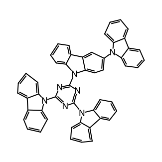 c1ccc2c(c1)c1ccccc1n2-c1ccc2c(c1)c1ccccc1n2-c1nc(-n2c3ccccc3c3ccccc32)nc(-n2c3ccccc3c3ccccc32)n1